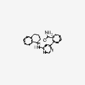 NC(=O)c1ccccc1-c1cc(N[C@@H]2CCCc3ccccc32)ncn1